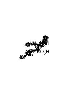 Cc1cc(N(CCCCNC2CCN(C)CC2)c2nc(C(=O)O)c(CCCOc3ccc(C#CCN(C)C)cc3F)s2)nnc1Nc1nc2ccccc2s1